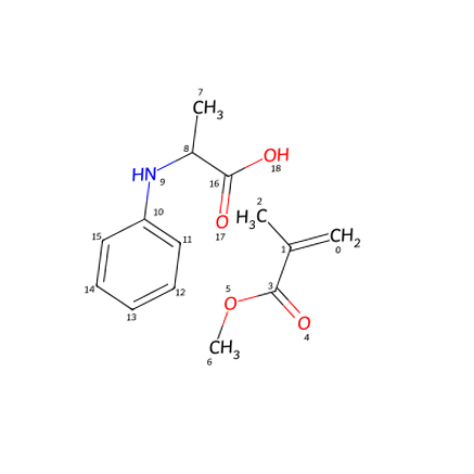 C=C(C)C(=O)OC.CC(Nc1ccccc1)C(=O)O